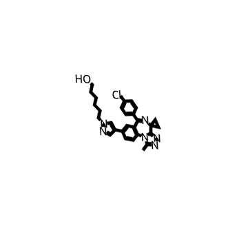 Cc1nnc2n1-c1ccc(-c3cnn(CCCCCCO)c3)cc1C(c1ccc(Cl)cc1)=NC21CC1